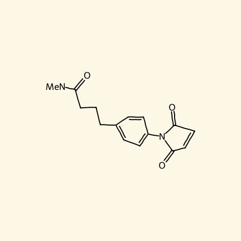 CNC(=O)CCCc1ccc(N2C(=O)C=CC2=O)cc1